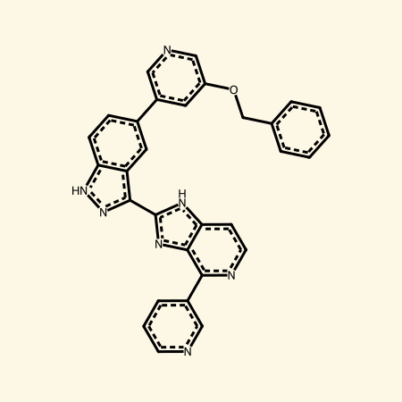 c1ccc(COc2cncc(-c3ccc4[nH]nc(-c5nc6c(-c7cccnc7)nccc6[nH]5)c4c3)c2)cc1